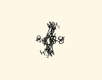 CC(C)(C)C(=O)SCCOP1(=O)OC[C@H]2O[C@@H](n3cnc4c(N)ncnc43)C[C@H]2OP(=O)(OCCSC(=O)C(C)(C)C)OC[C@H]2O[C@@H](n3cnc4c(N)ncnc43)C[C@H]2O1